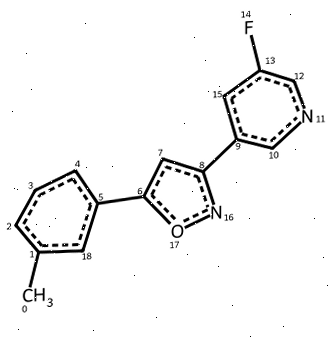 Cc1cccc(-c2cc(-c3cncc(F)c3)no2)c1